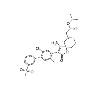 Cc1cc(-c2cccc(S(C)(=O)=O)c2)c(Cl)cc1C1=C(N)C2(CCCN(CC(=O)OC(C)C)C2)OC1=O